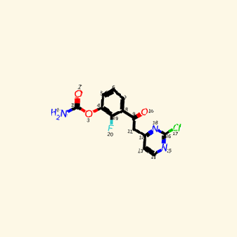 NC(=O)Oc1cccc(C(=O)Cc2ccnc(Cl)n2)c1F